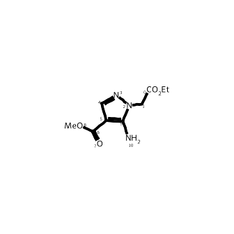 CCOC(=O)Cn1ncc(C(=O)OC)c1N